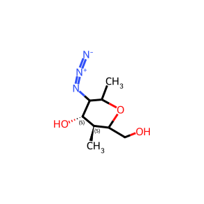 CC1OC(CO)[C@@H](C)[C@H](O)C1N=[N+]=[N-]